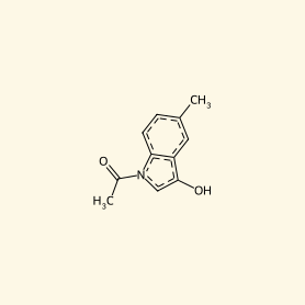 CC(=O)n1cc(O)c2cc(C)ccc21